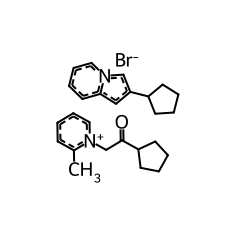 Cc1cccc[n+]1CC(=O)C1CCCC1.[Br-].c1ccn2cc(C3CCCC3)cc2c1